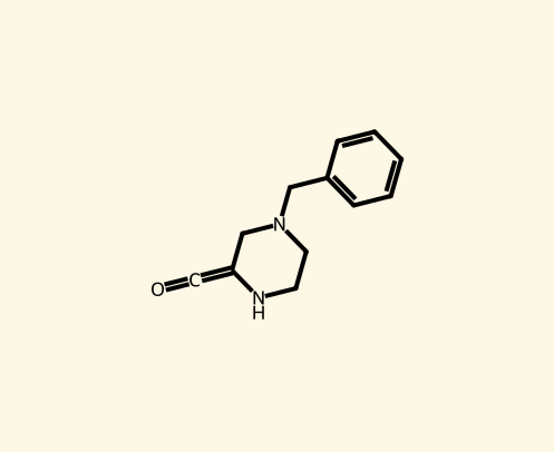 O=C=C1CN(Cc2ccccc2)CCN1